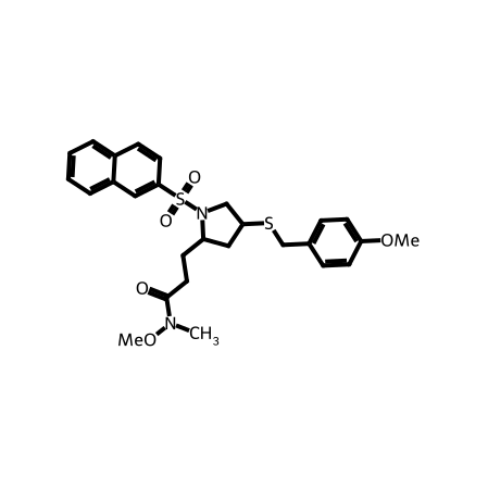 COc1ccc(CSC2CC(CCC(=O)N(C)OC)N(S(=O)(=O)c3ccc4ccccc4c3)C2)cc1